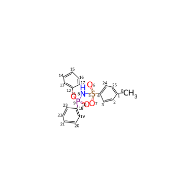 Cc1ccc(S(=O)(=O)NP(=O)(Oc2ccccc2)c2ccccc2)cc1